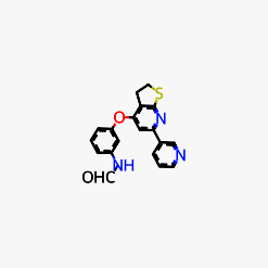 O=CNc1cccc(Oc2cc(-c3cccnc3)nc3c2CCS3)c1